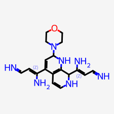 N=C/C=C(\N)C1=CC(N2CCOCC2)NC2=C1C=CNC2/C(N)=C/C=N